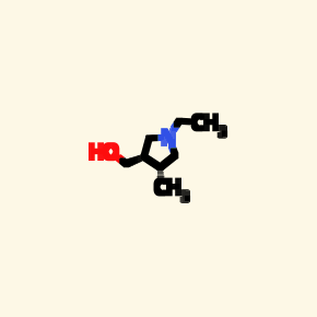 CCN1C[C@H](CO)[C@@H](C)C1